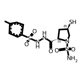 Cc1ccc(S(=O)(=O)NNC(=O)[C@@H]2C[C@@H](S)CN2S(N)(=O)=O)cc1